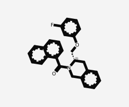 O=C(c1cccc2ccccc12)N1Cc2ccccc2C[C@H]1COc1cccc(F)c1